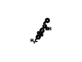 Cc1ccc(S(=O)(=O)N2CCN([C@@H]3CN(Cc4ccccc4)C[C@H]3O)CC2)cc1